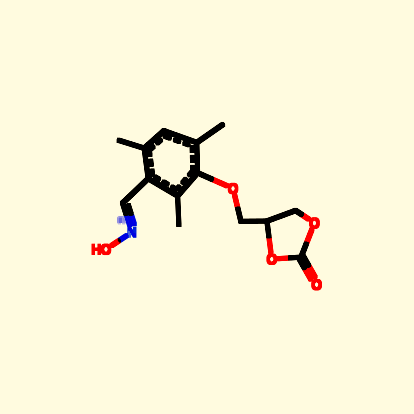 Cc1cc(C)c(OCC2COC(=O)O2)c(C)c1/C=N/O